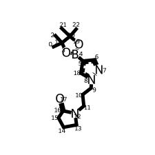 CC1(C)OB(c2cnn(CCCN3CCCC3=O)c2)OC1(C)C